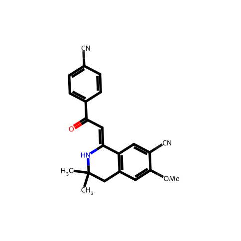 COc1cc2c(cc1C#N)C(=CC(=O)c1ccc(C#N)cc1)NC(C)(C)C2